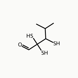 CC(C)C(S)C(S)(S)C=O